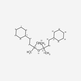 C[Si](C)(CCC1CCCCC1)O[Si](C)(C)CCC1CCCCC1